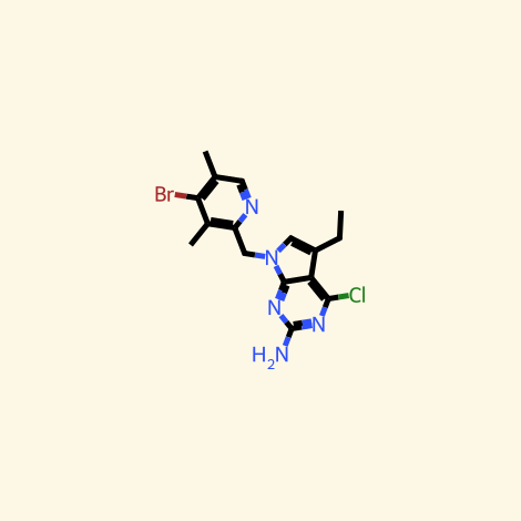 CCc1cn(Cc2ncc(C)c(Br)c2C)c2nc(N)nc(Cl)c12